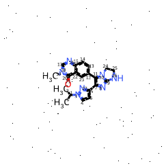 CC(C)n1ccc(-c2nc3n(c2-c2ccc4ncn(C)c(=O)c4c2)CCN3)n1